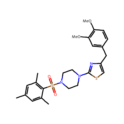 COc1ccc(Cc2csc(N3CCN(S(=O)(=O)c4c(C)cc(C)cc4C)CC3)n2)cc1OC